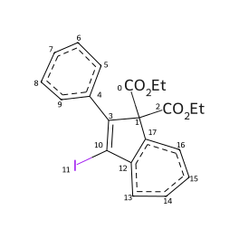 CCOC(=O)C1(C(=O)OCC)C(c2ccccc2)=C(I)c2ccccc21